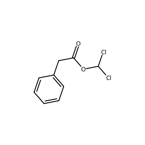 O=C(Cc1ccccc1)OC(Cl)Cl